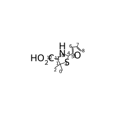 CC1(C)SC(c2ccco2)NC1C(=O)O